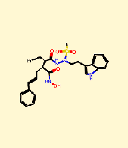 CC(C)C[C@@H](C(=O)NN(CCc1c[nH]c2ccccc12)S(C)(=O)=O)[C@H](CC=Cc1ccccc1)C(=O)NO